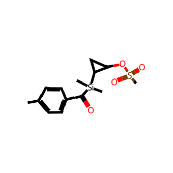 Cc1ccc(C(=O)[Si](C)(C)C2CC2OS(C)(=O)=O)cc1